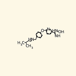 CC(C)CCNCc1ccc(Oc2ccc(C(=N)NO)cn2)cc1